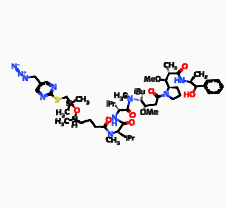 CC[C@@H](C)[C@H]([C@H](CC(=O)N1CCC[C@@H]1[C@@H](OC)[C@H](C)C(=O)N[C@@H](C)[C@H](O)c1ccccc1)OC)N(C)C(=O)[C@H](NC(=O)[C@@H](C(C)C)N(C)C(=O)CCC[SiH](C)O[Si](C)(C)CSc1ncc(CN=[N+]=[N-])cn1)C(C)C